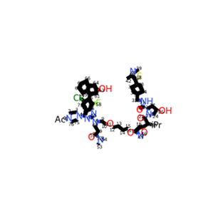 CC(=O)N1CCN(c2nc(N(CCOCCCCOc3cc(C(C(=O)N4C[C@H](O)C[C@H]4C(=O)NCc4ccc(-c5scnc5C)cc4)C(C)C)on3)CCC(=O)N(C)C)nc3c(F)c(-c4cc(O)cc5ccccc45)c(Cl)cc23)CC1